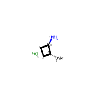 CO[C@@H]1CC[C@H]1N.Cl